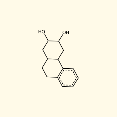 OC1CC2CCc3ccccc3C2CC1O